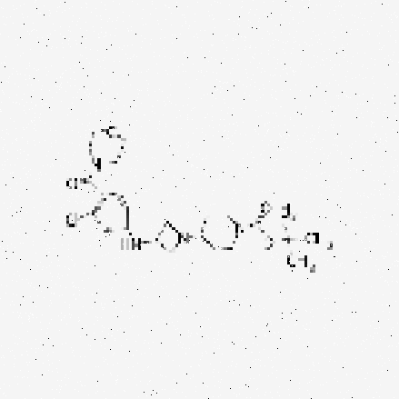 CC(C)(C)OC(=O)N1CCC(N2CC(Nc3ccc(C(=O)N4CCCCC4)c(Cl)c3)C2)CC1